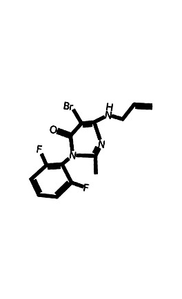 C=CCNc1nc(C)n(-c2c(F)cccc2F)c(=O)c1Br